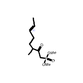 C/C=C/CCC(C)C(=O)CP(=O)(OC)OC